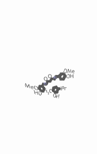 COc1cc(/C=C/C(=O)CC(=O)/C=C/c2ccc(O)c(OC)c2)ccc1O.Cc1ccc(C(C)C)cc1O